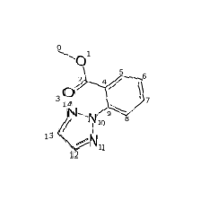 COC(=O)c1ccccc1-n1nccn1